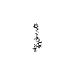 O=C(Nc1cccc(C2CCN(CCCCCSc3ccccc3)CC2)c1)C1CC1